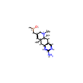 CCCN1CC(C[S+](C)[O-])=C[C@H]2Cc3nc(N)ncc3C[C@@H]21